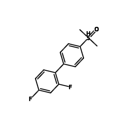 C[SH](C)(=O)c1ccc(-c2ccc(F)cc2F)cc1